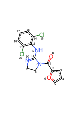 O=C(c1ccco1)N1CCN=C1Nc1c(Cl)cccc1Cl